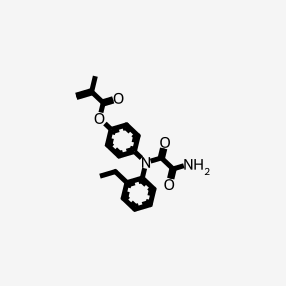 C=C(C)C(=O)Oc1ccc(N(C(=O)C(N)=O)c2ccccc2CC)cc1